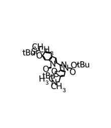 CN(C)Cc1cc2c(s1)c(-c1cc3ccc(O[Si](C)(C)C(C)(C)C)cc3n1C(=O)OC(C)(C)C)nn2C(=O)OC(C)(C)C